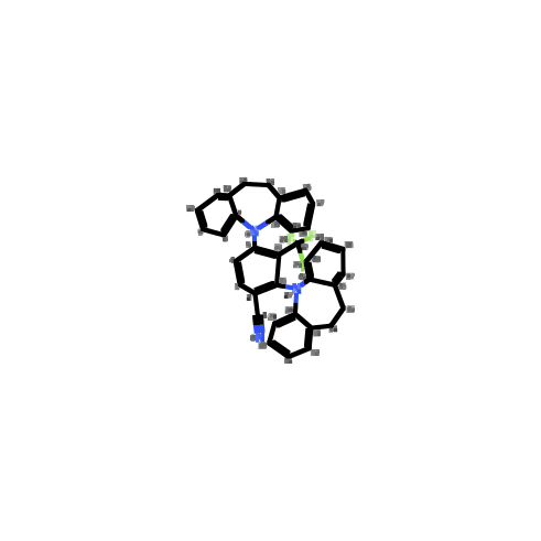 N#Cc1ccc(N2c3ccccc3CCc3ccccc32)c(C(F)(F)F)c1N1c2ccccc2CCc2ccccc21